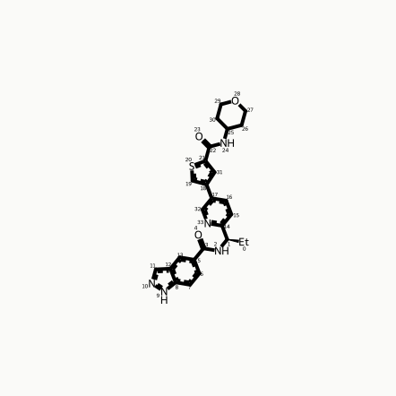 CC[C@@H](NC(=O)c1ccc2[nH]ncc2c1)c1ccc(-c2csc(C(=O)NC3CCOCC3)c2)cn1